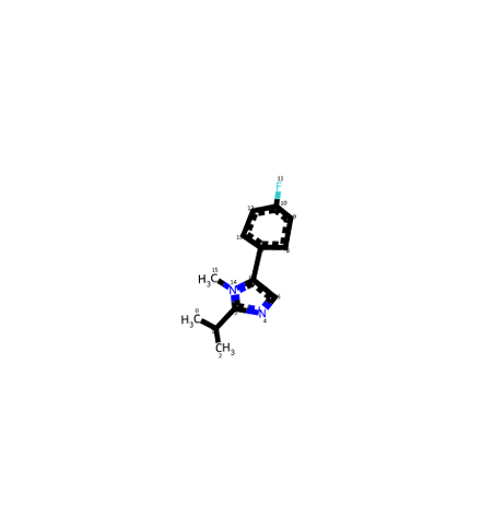 CC(C)c1ncc(-c2ccc(F)cc2)n1C